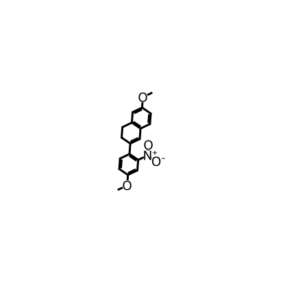 COc1ccc2c(c1)CCC(c1ccc(OC)cc1[N+](=O)[O-])=C2